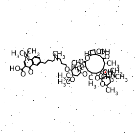 CO[C@]1(C)C[C@@H](C)C(=O)[C@@H](O)[C@@]2(O)CC[C@H]2OC(=O)[C@H](C)[C@@H](O[C@H]2C[C@@](C)(OC)[C@@H](OCCCN(C)CCCc3ccc4c(c3)c(=O)c(C(=O)O)cn4N(C)C)[C@H](C)O2)[C@H](C)[C@H]1O[C@@H]1O[C@H](C)C[C@H](N(C)C)[C@H]1O